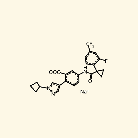 O=C([O-])c1cc(NC(=O)C2(c3ccc(C(F)(F)F)cc3F)CC2)ccc1-c1cnn(C2CCC2)c1.[Na+]